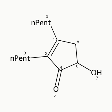 CCCCCC1=C(CCCCC)C(=O)C(O)C1